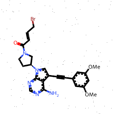 COc1cc(C#Cc2cn([C@H]3CCN(C(=O)C=CCBr)C3)c3ncnc(N)c23)cc(OC)c1